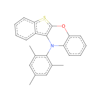 Cc1cc(C)c(N2c3ccccc3Oc3sc4ccccc4c32)c(C)c1